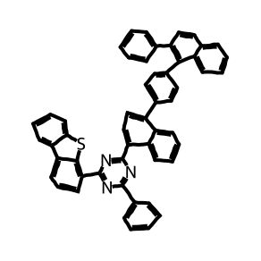 c1ccc(-c2nc(-c3ccc(-c4ccc(-c5c(-c6ccccc6)ccc6ccccc56)cc4)c4ccccc34)nc(-c3cccc4c3sc3ccccc34)n2)cc1